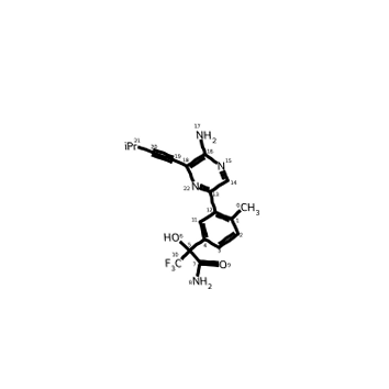 Cc1ccc(C(O)(C(N)=O)C(F)(F)F)cc1-c1cnc(N)c(C#CC(C)C)n1